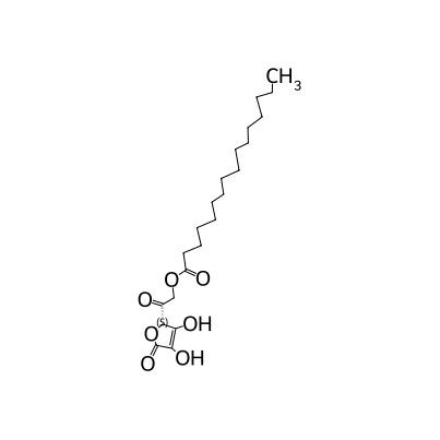 CCCCCCCCCCCCCCCC(=O)OCC(=O)[C@H]1OC(=O)C(O)=C1O